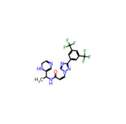 CC(NC(=O)/C=C\n1cnc(-c2cc(C(F)(F)F)cc(C(F)(F)F)c2)n1)C1=CN=CCN1